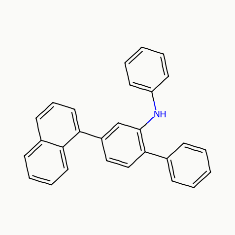 c1ccc(Nc2cc(-c3cccc4ccccc34)ccc2-c2ccccc2)cc1